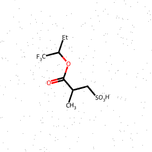 CCC(OC(=O)C(C)CS(=O)(=O)O)C(F)(F)F